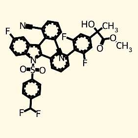 COC(=O)C(C)(O)c1cc(F)c(-c2cccc(-c3c(-c4c(C#N)cccc4C#N)c4cc(F)ccc4n3S(=O)(=O)c3ccc(C(F)F)cc3)c2)c(F)c1